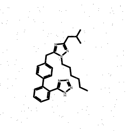 CCCCCCn1nc(CC(C)C)nc1Cc1ccc(-c2ccccc2-c2nnn[nH]2)cc1